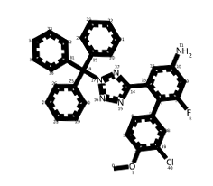 COc1ccc(-c2c(F)cc(N)cc2-c2nnn(C(c3ccccc3)(c3ccccc3)c3ccccc3)n2)cc1Cl